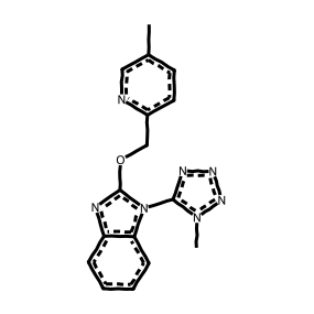 Cc1ccc(COc2nc3ccccc3n2-c2nnnn2C)nc1